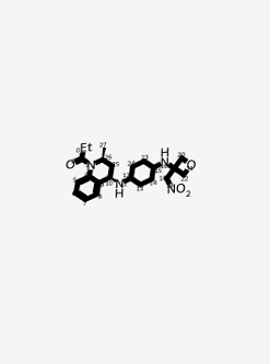 CCC(=O)N1c2ccccc2[C@H](NC2CCC(NC3(C[N+](=O)[O-])COC3)CC2)C[C@@H]1C